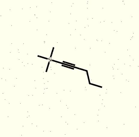 CCCC#C[Si](C)(C)C